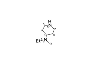 [CH2]CN(C)C1CCNCC1